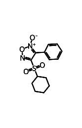 O=S(=O)(c1no[n+]([O-])c1-c1ccccc1)C1CCCCC1